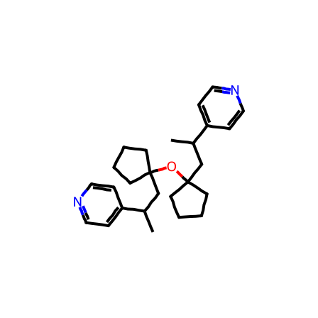 CC(CC1(OC2(CC(C)c3ccncc3)CCCC2)CCCC1)c1ccncc1